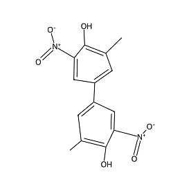 Cc1cc(-c2cc(C)c(O)c([N+](=O)[O-])c2)cc([N+](=O)[O-])c1O